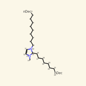 CCCCCCCCCCCCCCCCCCCN1C=CN(C)C1CCCCCCCCCCCCCCCCC